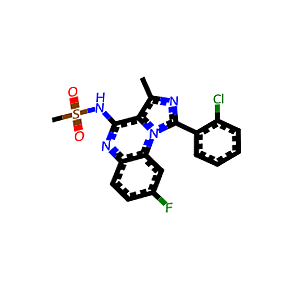 Cc1nc(-c2ccccc2Cl)n2c1c(NS(C)(=O)=O)nc1ccc(F)cc12